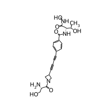 C[C@@H](O)[C@H](NC(=O)c1ccc(C#CC#CC2CN(C(=O)[C@@H](N)CO)C2)cc1)C(=O)NO